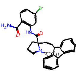 NC(=O)c1ccc(Br)cc1NC(=O)C1(CC2c3ccccc3-c3ccccc32)CCCN1C(=O)O